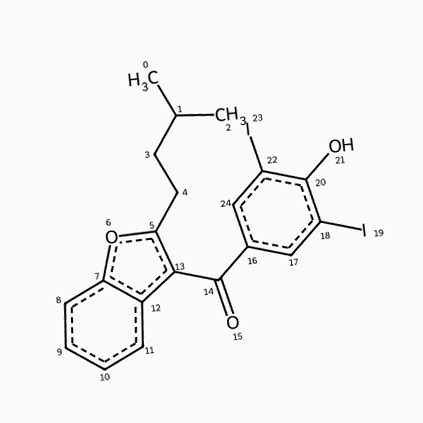 CC(C)CCc1oc2ccccc2c1C(=O)c1cc(I)c(O)c(I)c1